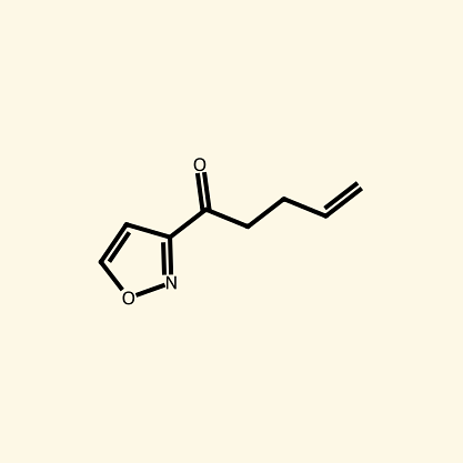 C=CCCC(=O)c1ccon1